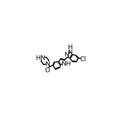 O=C(c1ccc2[nH]c(-c3n[nH]c4cc(Cl)ccc34)cc2c1)N1CCNCC1